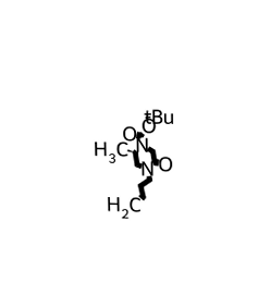 C=CCCN1C[C@H](C)N(C(=O)OC(C)(C)C)CC1=O